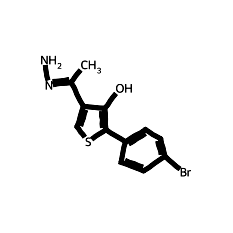 C/C(=N\N)c1csc(-c2ccc(Br)cc2)c1O